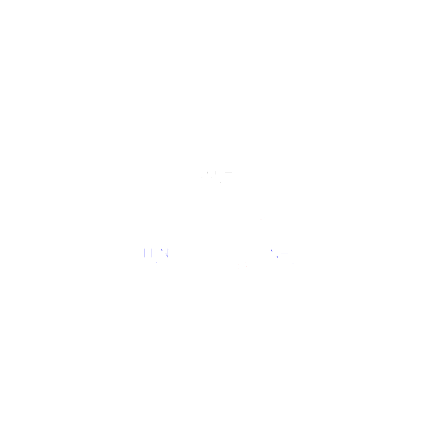 Nc1cc(C(=O)O)cc(S(N)(=O)=O)c1